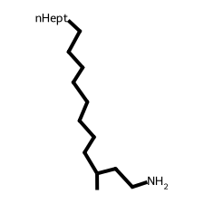 CCCCCCCCCCCCCCCC(C)CCN